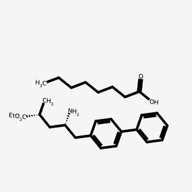 CCCCCCCC(=O)O.CCOC(=O)[C@H](C)C[C@H](N)Cc1ccc(-c2ccccc2)cc1